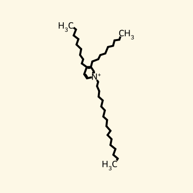 CCCCCCCCCCCCCCCCCC[n+]1ccc(CCCCCCCCC)c(CCCCCCCCC)c1